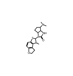 CN(C)C1CCC2C1NC(=O)N2C1Sc2ccc3c(c2N1C)CCO3